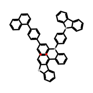 c1cc(-c2ccc(-c3cccc4ccccc34)cc2)cc(N(c2ccc(-n3c4ccccc4c4ccccc43)cc2)c2ccccc2-c2cccc3oc4ccccc4c23)c1